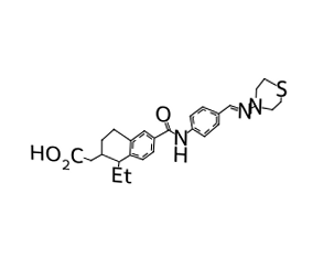 CCC1c2ccc(C(=O)Nc3ccc(C=NN4CCSCC4)cc3)cc2CCC1CC(=O)O